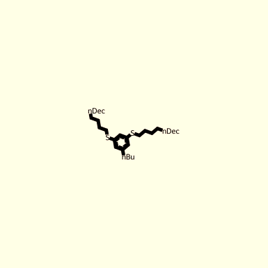 [CH2]CCCc1cc(SCCCCCCCCCCCCCC)cc(SCCCCCCCCCCCCCC)c1